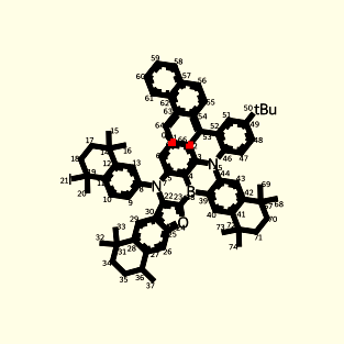 Cc1cc2c3c(c1)N(c1ccc4c(c1)C(C)(C)CCC4(C)I)c1c(oc4cc5c(cc14)C(C)(C)CCC5C)B3c1cc3c(cc1N2c1ccc(C(C)(C)C)cc1C1=c2ccc4ccccc4c2=CCC1)C(C)(C)CCC3(C)C